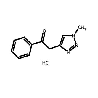 Cl.Cn1cc(CC(=O)c2ccccc2)nn1